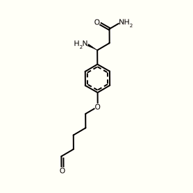 NC(=O)C[C@H](N)c1ccc(OCCCCC=O)cc1